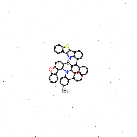 CC(C)(C)c1ccc(N2c3cc4ccccc4c4c3B(c3ccc5oc6ccccc6c5c32)n2c3c-4cccc3c3sc4ccccc4c32)c(-c2ccccc2)c1